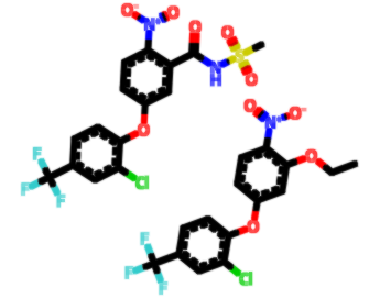 CCOc1cc(Oc2ccc(C(F)(F)F)cc2Cl)ccc1[N+](=O)[O-].CS(=O)(=O)NC(=O)c1cc(Oc2ccc(C(F)(F)F)cc2Cl)ccc1[N+](=O)[O-]